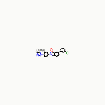 COc1cc(N2Cc3ccc(C4=CC(Cl)=CCC4)cc3C2=O)ccc1-n1cnc(C)c1